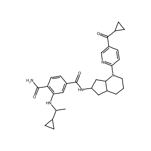 CC(Nc1cc(C(=O)NC2CC3CCCN(c4ccc(C(=O)C5CC5)cn4)C3C2)ccc1C(N)=O)C1CC1